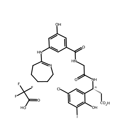 O=C(O)C(F)(F)F.O=C(O)C[C@@H](NC(=O)CNC(=O)c1cc(O)cc(NC2=NCCCCC2)c1)c1cc(Cl)cc(I)c1O